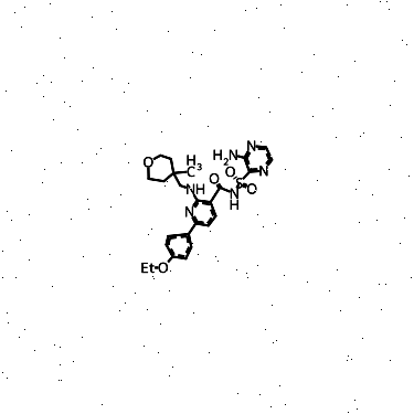 CCOc1ccc(-c2ccc(C(=O)NS(=O)(=O)c3nccnc3N)c(NCC3(C)CCOCC3)n2)cc1